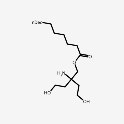 CCCCCCCCCCCCCCCC(=O)OCC(N)(CCO)CCO